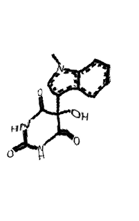 Cn1cc(C2(O)C(=O)NC(=O)NC2=O)c2ccccc21